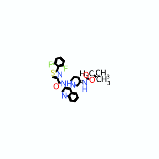 CC(C)(C)OC(=O)N[C@H]1CCCN(c2c(NC(=O)c3csc(-c4c(F)cccc4F)n3)cnc3ccccc23)C1